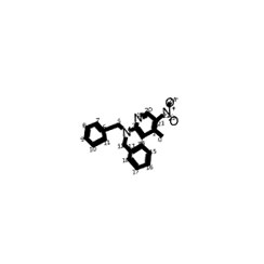 Cc1cc(N(Cc2ccccc2)Cc2ccccc2)ncc1[N+](=O)[O-]